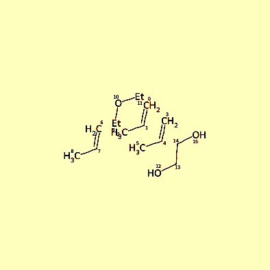 C=CC.C=CC.C=CC.CCOCC.OCCO